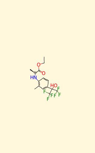 CCOC(=O)[C@H](C)Nc1ccc(C(O)(C(F)(F)F)C(F)(F)F)cc1C